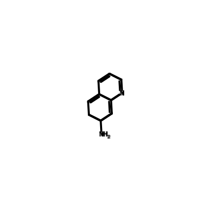 NC1C=c2ncccc2=CC1